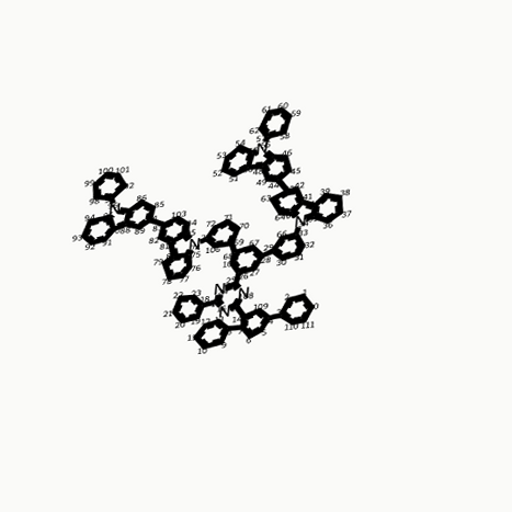 c1ccc(-c2ccc(-c3ccccc3)c(-c3nc(-c4ccccc4)nc(-c4cc(-c5cccc(-n6c7ccccc7c7cc(-c8ccc9c(c8)c8ccccc8n9-c8ccccc8)ccc76)c5)cc(-c5cccc(-n6c7ccccc7c7cc(-c8ccc9c(c8)c8ccccc8n9-c8ccccc8)ccc76)c5)c4)n3)c2)cc1